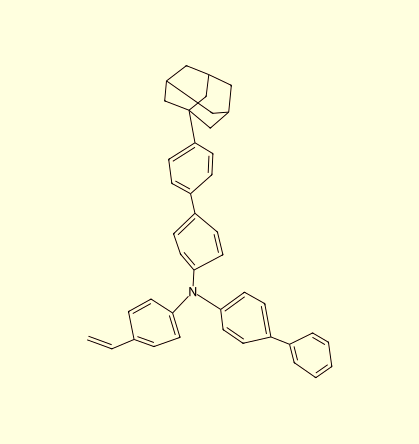 C=Cc1ccc(N(c2ccc(-c3ccccc3)cc2)c2ccc(-c3ccc(C45CC6CC(CC(C6)C4)C5)cc3)cc2)cc1